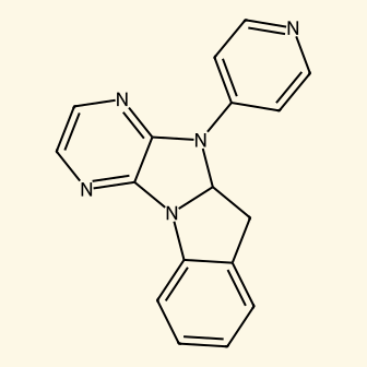 c1ccc2c(c1)CC1N(c3ccncc3)c3nccnc3N21